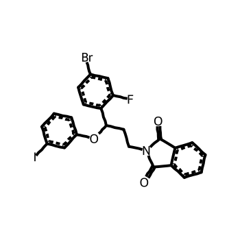 O=C1c2ccccc2C(=O)N1CCC(Oc1cccc(I)c1)c1ccc(Br)cc1F